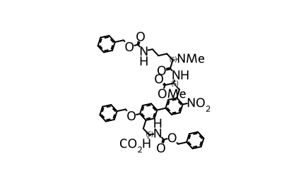 CN[C@@H](CCCNC(=O)OCc1ccccc1)C(=O)N[C@@H](Cc1cc(-c2ccc(OCc3ccccc3)c(C[C@H](NC(=O)OCc3ccccc3)C(=O)O)c2)ccc1[N+](=O)[O-])C(=O)OC